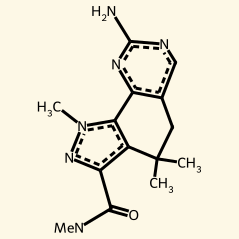 CNC(=O)c1nn(C)c2c1C(C)(C)Cc1cnc(N)nc1-2